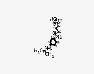 CC(C)/N=N/c1ccc(S(=O)(=O)CCOS(=O)(=O)O)cc1